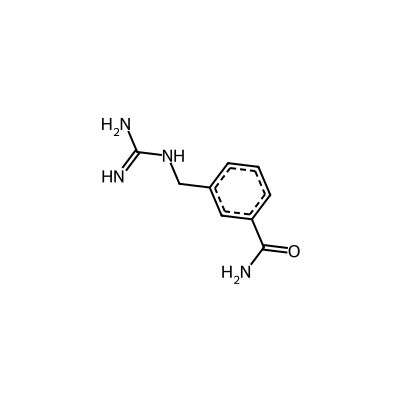 N=C(N)NCc1cccc(C(N)=O)c1